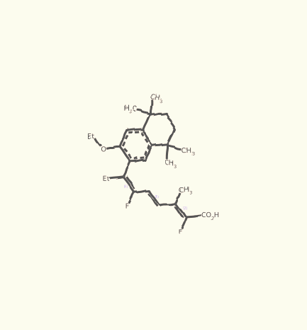 CCOc1cc2c(cc1\C(CC)=C(F)/C=C/C(C)=C(\F)C(=O)O)C(C)(C)CCC2(C)C